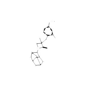 COc1ccc(CC2(C)CN(C3C4CC5CC(C4)CC3C5)C2=O)c(C)c1